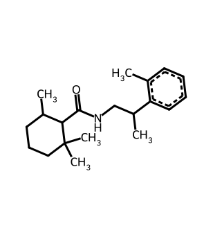 Cc1ccccc1C(C)CNC(=O)C1C(C)CCCC1(C)C